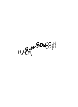 C=C(C)C(=O)OCCOCCOC(=O)c1ccc(N(CC(=O)O)CC(=O)O)cc1